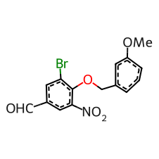 COc1cccc(COc2c(Br)cc(C=O)cc2[N+](=O)[O-])c1